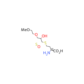 COCCOCC(O)CSCC[C@H](N)C(=O)O.O=S